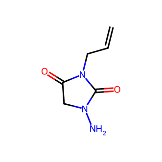 C=CCN1C(=O)CN(N)C1=O